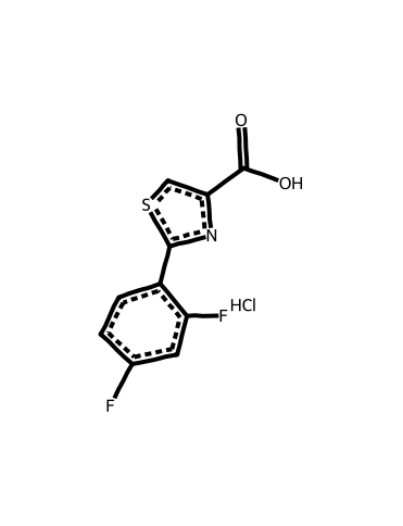 Cl.O=C(O)c1csc(-c2ccc(F)cc2F)n1